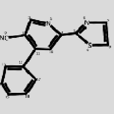 N#Cc1cnc(-c2nccs2)cc1-c1ccccc1